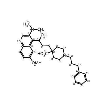 COc1ccc2ncc(N(C)C)c(C(O)CCC3(C(=O)O)CCN(CCCc4ccccc4)CC3)c2c1